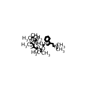 CC(C)C(OC(=O)C1SC1(NC(=O)OC(C)(C)C)C(C)C)OC(=O)n1cc(CCN(C)C)c2ccccc21